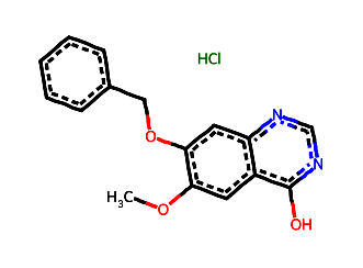 COc1cc2c(O)ncnc2cc1OCc1ccccc1.Cl